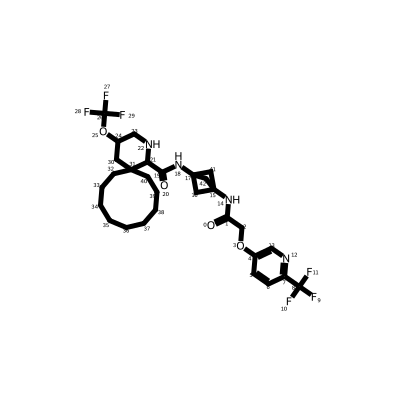 O=C(COc1ccc(C(F)(F)F)nc1)NC12CC(NC(=O)C3NCC(OC(F)(F)F)CC34CCCCCCCCC4)(C1)C2